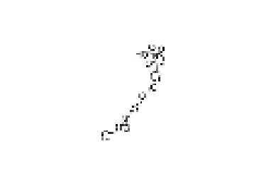 O=C(NCCOCCOCCOc1ccc(C2CCC(=O)N(C(=O)O)C2=O)cc1)OCc1ccccc1